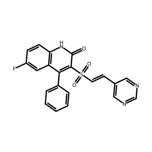 O=c1[nH]c2ccc(F)cc2c(-c2ccccc2)c1S(=O)(=O)/C=C/c1cncnc1